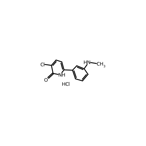 CNc1cccc(-c2ccc(Cl)c(=O)[nH]2)c1.Cl